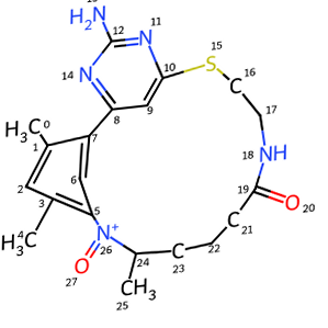 Cc1cc(C)c2cc1-c1cc(nc(N)n1)SCCNC(=O)CCCC(C)[N+]2=O